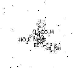 CCN(CC(=O)N(C(=O)C(N)CC(=O)O)C(CC1CCCCC1)C(=O)O)C(=O)CCCC1CCNCC1